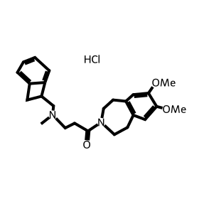 COc1cc2c(cc1OC)CCN(C(=O)CCN(C)CC1Cc3ccccc31)CC2.Cl